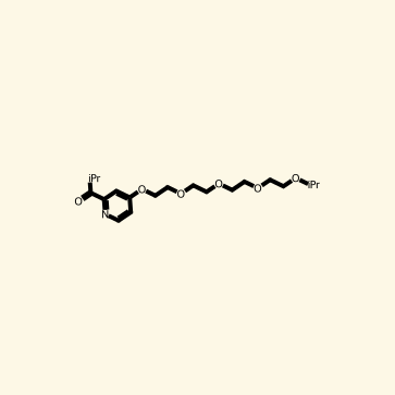 CC(C)OCCOCCOCCOCCOc1ccnc(C(=O)C(C)C)c1